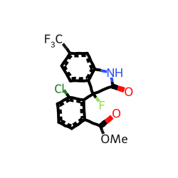 COC(=O)c1cccc(Cl)c1C1(F)C(=O)Nc2cc(C(F)(F)F)ccc21